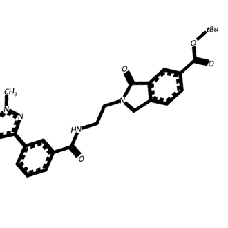 Cn1nnc(-c2cccc(C(=O)NCCN3Cc4ccc(C(=O)OC(C)(C)C)cc4C3=O)c2)n1